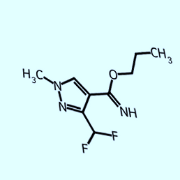 CCCOC(=N)c1cn(C)nc1C(F)F